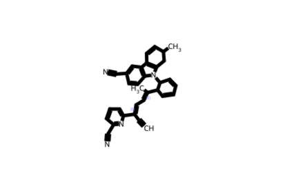 C#C/C(=C\C=C(/C)C1C=CC=CC1n1c2c(c3cc(C#N)ccc31)C=CC(C)C2)c1cccc(C#N)n1